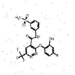 CS(=O)(=O)c1cccc(NC(=O)c2cc(C(F)(F)F)nnc2Oc2ccc(F)cc2O)c1